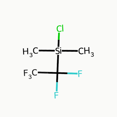 C[Si](C)(Cl)C(F)(F)C(F)(F)F